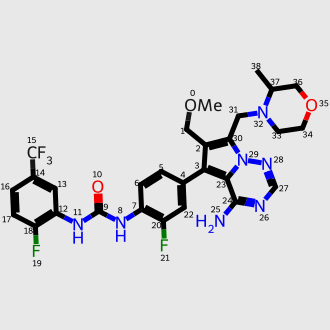 COCc1c(-c2ccc(NC(=O)Nc3cc(C(F)(F)F)ccc3F)c(F)c2)c2c(N)ncnn2c1CN1CCOCC1C